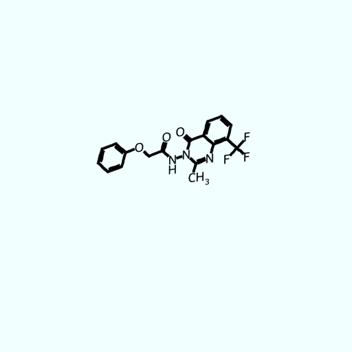 Cc1nc2c(C(F)(F)F)cccc2c(=O)n1NC(=O)COc1ccccc1